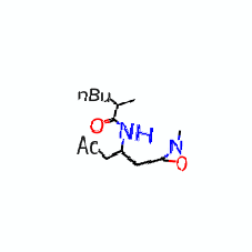 CCCCC(C)C(=O)NC(CC(C)=O)CC1ON1C